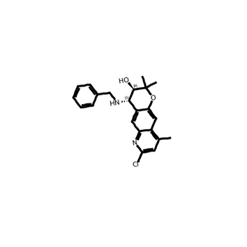 Cc1cc(Cl)nc2cc3c(cc12)OC(C)(C)[C@H](O)[C@H]3NCc1ccccc1